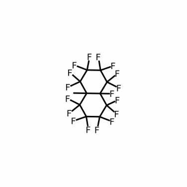 CC12C(F)(F)C(F)(F)C(F)(F)C(F)(F)C1(F)C(F)(F)C(F)(F)C(F)(F)C2(F)F